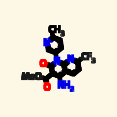 COC(=O)c1c(N)c2ccc(C(F)(F)F)nc2n(-c2ccc(C)nc2)c1=O